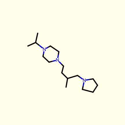 CC(CCN1CCN(C(C)C)CC1)CN1CCCC1